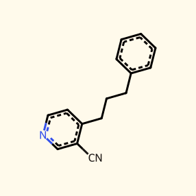 N#Cc1cnccc1CCCc1ccccc1